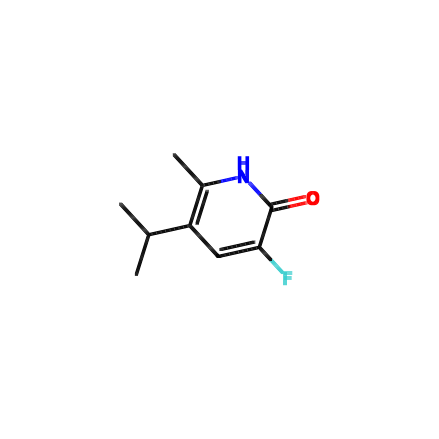 Cc1[nH]c(=O)c(F)cc1C(C)C